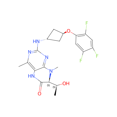 Cc1nc(N[C@H]2C[C@H](Oc3cc(F)c(F)cc3F)C2)nc2c1NC(=O)[C@H]([C@H](C)O)N2C